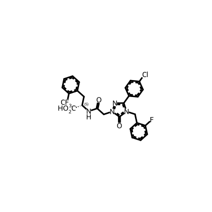 O=C(Cn1nc(-c2ccc(Cl)cc2)n(Cc2ccccc2F)c1=O)N[C@@H](Cc1ccccc1C(F)(F)F)C(=O)O